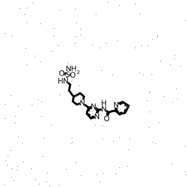 NS(=O)(=O)NCCC1CCN(c2ccnc(NC(=O)c3ccccn3)n2)CC1